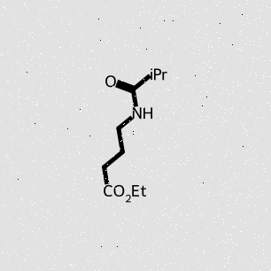 CCOC(=O)CCCNC(=O)C(C)C